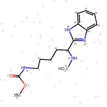 CC(C)(C)OC(=O)NCCCCC(NC(=O)O)c1nc2ccccc2[nH]1